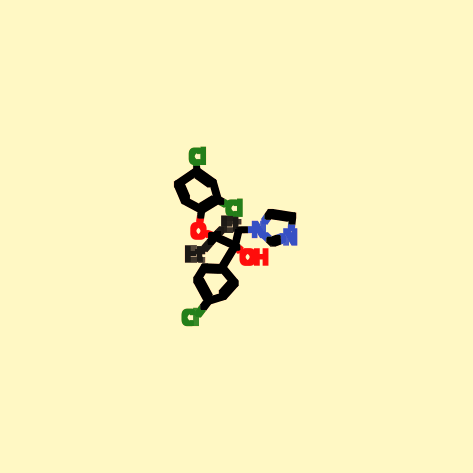 CCC(CC)(Oc1ccc(Cl)cc1Cl)C(O)(Cn1ccnc1)c1ccc(Cl)cc1